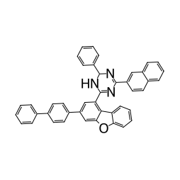 c1ccc(-c2ccc(-c3cc(C4=NC(c5ccc6ccccc6c5)=NC(c5ccccc5)N4)c4c(c3)oc3ccccc34)cc2)cc1